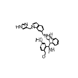 CNC(c1cc(O)ccc1C=O)C1c2ccccc2NC1CNCc1ccc2ccn(Cc3c[nH]cn3)c2c1